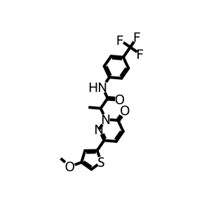 COc1csc(-c2ccc(=O)n(C(C)C(=O)Nc3ccc(C(F)(F)F)cc3)n2)c1